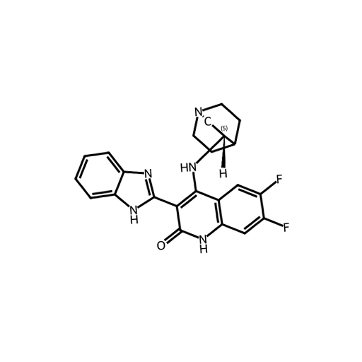 O=c1[nH]c2cc(F)c(F)cc2c(N[C@@H]2CN3CCC2CC3)c1-c1nc2ccccc2[nH]1